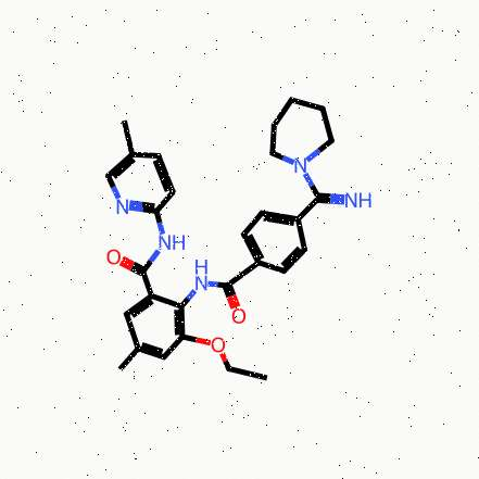 CCOc1cc(C)cc(C(=O)Nc2ccc(C)cn2)c1NC(=O)c1ccc(C(=N)N2CCCCC2)cc1